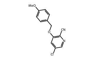 COc1ccc(COc2cc(Cl)cnc2C#N)cc1